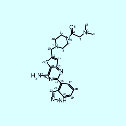 CN(C)CC(=O)N1CCN(Cc2cc3nc(-c4cccc5[nH]ncc45)nc(N)c3s2)CC1